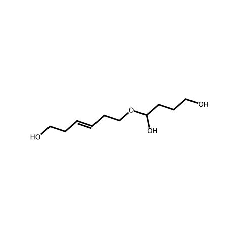 OCC/C=C/CCOC(O)CCCO